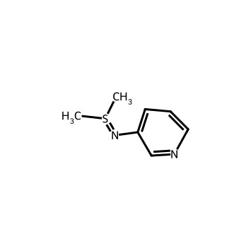 CS(C)=Nc1cccnc1